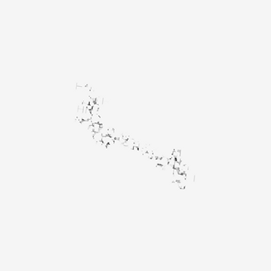 CN(CCO)S(=O)(=O)Nc1ccc(F)c(Oc2ccc3ncn(C4COC5(CCN(C6CC7(C6)CN(c6cc8c(cc6F)c(N6CCC(=O)NC6=O)nn8C)C7)CC5)C4)c(=O)c3c2)c1C#N